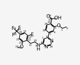 CCOc1cc(-c2cc(NCCc3c(F)cc(C(F)(F)F)cc3OC)ncn2)ccc1C(=O)O